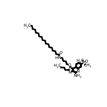 CCCCCCCCCCCCCCCCCC(=O)NCCCCOn1c(CCCC)nc2c(N)nc3cc(P(C)(C)=O)ccc3c21